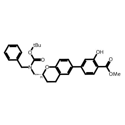 COC(=O)c1ccc(-c2ccc3c(c2)CC[C@H](CN(Cc2ccccc2)C(=O)OC(C)(C)C)O3)cc1O